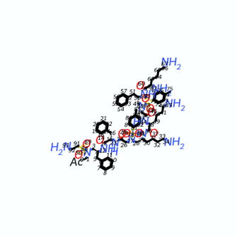 CC(=O)CN(C[C@H](Cc1ccccc1)NC(=O)[C@H](Cc1ccccc1)NC(=O)CN(C[C@H](CCCCN)NC(=O)[C@H](CCCCN)NC(=O)CN(C[C@H](Cc1ccccc1)NC(=O)[C@@H](N)CCCCN)S(=O)(=O)c1ccc(C)cc1)S(=O)(=O)c1ccc(C)cc1)S(=O)(=O)CCN